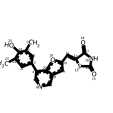 Cc1cc(-c2cncc3cc(/C=C4\SC(=O)NC4=O)oc23)cc(C)c1O